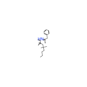 C=C(N[C@H](C)Cc1ccccc1)[C@H](C)CC(C)(C)CCCC